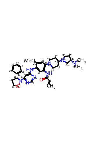 C=CC(=O)Nc1cc(Nc2cc(N3OCC[C@@H]3c3ccccc3)ncn2)c(OC)cc1N1CCC(N2CC[C@@H](N(C)C)C2)CC1